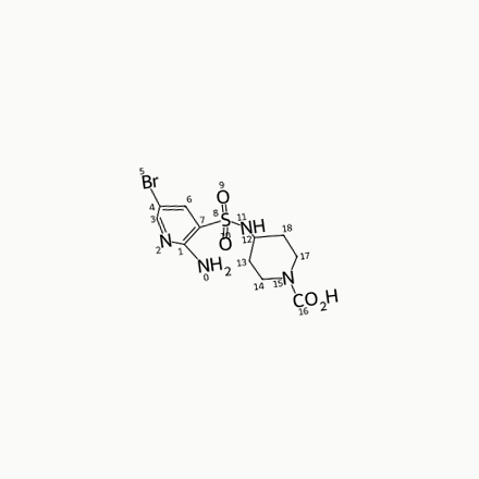 Nc1ncc(Br)cc1S(=O)(=O)NC1CCN(C(=O)O)CC1